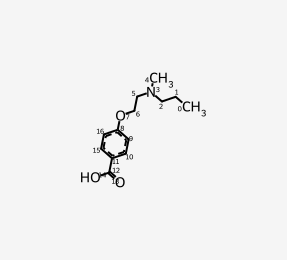 CCCN(C)CCOc1ccc(C(=O)O)cc1